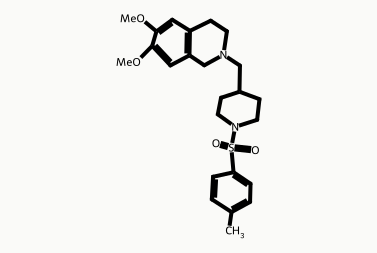 COc1cc2c(cc1OC)CN(CC1CCN(S(=O)(=O)c3ccc(C)cc3)CC1)CC2